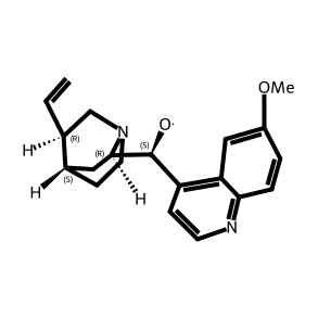 C=C[C@H]1CN2CC[C@H]1C[C@@H]2[C@@H]([O])c1ccnc2ccc(OC)cc12